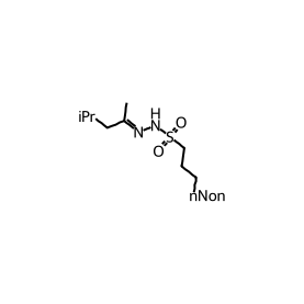 CCCCCCCCCCCCS(=O)(=O)N/N=C(\C)CC(C)C